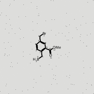 BCc1ccc(CBr)cc1C(=O)OC